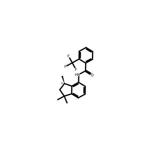 C[C@@H]1CC(C)(C)c2cccc(NC(=O)c3ccccc3C(F)(F)F)c21